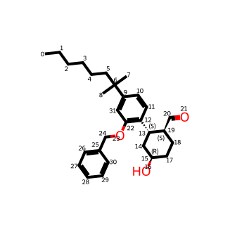 CCCCCCC(C)(C)c1ccc([C@H]2C[C@H](O)CC[C@@H]2C=O)c(OCc2ccccc2)c1